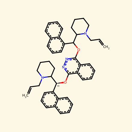 C=CCN1CCCCC1C(Oc1nnc(O[C@@H](c2cccc3ccccc23)C2CCCCN2CC=C)c2ccccc12)c1cccc2ccccc12